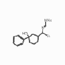 CCC(N=CNC)C1CCCC(O)(c2ccccc2)C1